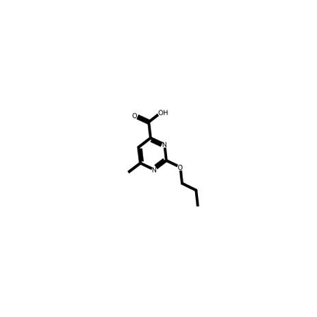 CCCOc1nc(C)cc(C(=O)O)n1